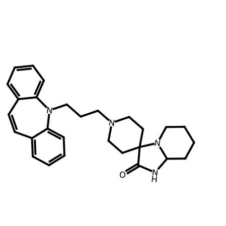 O=C1NC2CCCCN2C12CCN(CCCN1c3ccccc3C=Cc3ccccc31)CC2